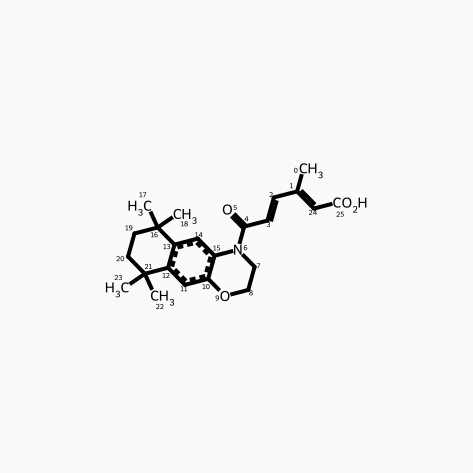 CC(C=CC(=O)N1CCOc2cc3c(cc21)C(C)(C)CCC3(C)C)=CC(=O)O